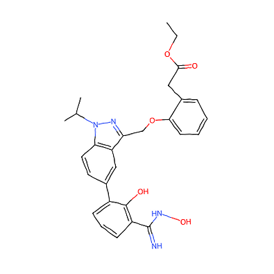 CCOC(=O)Cc1ccccc1OCc1nn(C(C)C)c2ccc(-c3cccc(C(=N)NO)c3O)cc12